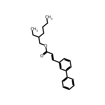 CCCCC(CC)COC(=O)C=Cc1cccc(-c2ccccc2)c1